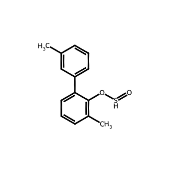 Cc1cccc(-c2cccc(C)c2O[SH]=O)c1